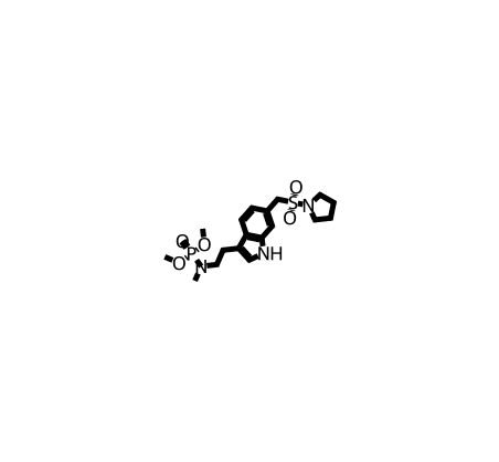 COP(=O)(OC)N(C)CCc1c[nH]c2cc(CS(=O)(=O)N3CCCC3)ccc12